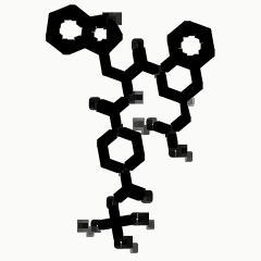 CN(C)C[C@@H]1Cc2ccccc2N(C(=O)C(Cc2c[nH]c3ccccc23)NC(=O)N2CCN(C(=O)OC(C)(C)C)CC2)C1